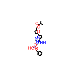 CC(C)C(=O)OCC1CCC(c2ccc3c(=N)n(COP(O)OCc4ccccc4)cnn23)O1